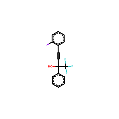 OC(C#Cc1ccccc1I)(c1ccccc1)C(F)(F)F